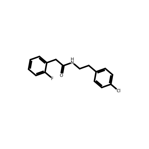 O=C(Cc1ccccc1F)NCCc1ccc(Cl)cc1